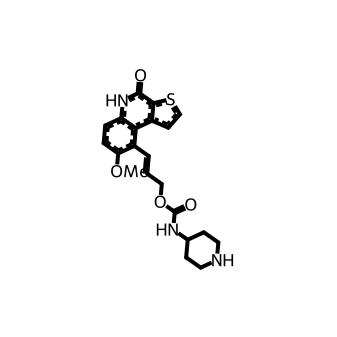 COc1ccc2[nH]c(=O)c3sccc3c2c1C=CCOC(=O)NC1CCNCC1